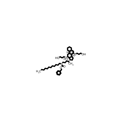 CCCCCCCCCCCCN(CCCC(C)[C@H]1CC[C@H]2C3[C@H](OCCCO)CC4CCCC[C@]4(C)[C@H]3C[C@H](OCCCO)C12C)C(=O)OCc1ccccc1